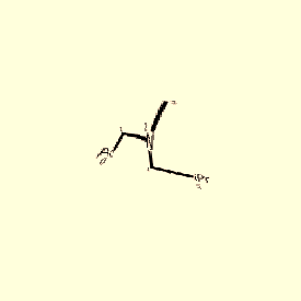 CC(=O)CN(C)CC(C)C